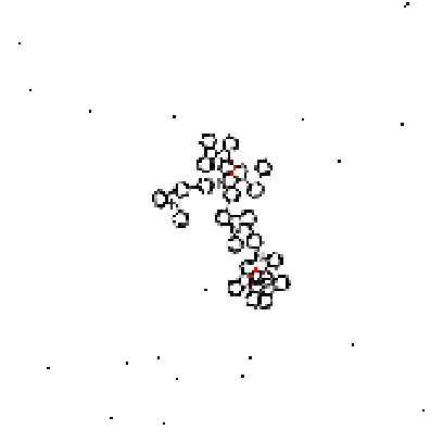 c1ccc(-c2ccccc2-c2ccccc2-c2ccccc2N(c2ccc(-c3cccc4c5c(-c6ccc(-c7ccccc7-c7ccccc7-c7ccccc7)c(N(c7ccc(-c8ccc9c%10ccccc%10n(-c%10ccccc%10)c9c8)cc7)c7ccc8c(c7)C7(c9ccccc9-c9ccccc97)c7ccccc7-8)c6)cccc5n(-c5ccccc5)c34)cc2)c2ccc3c(c2)C2(c4ccccc4-c4ccccc42)c2ccccc2-3)cc1